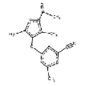 CC(=O)n1nc(C)c(Oc2cc(C)cc(C#N)c2)c1C